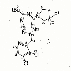 CC(C)(C)c1nc(N2CCC(F)(F)C2)c2nn(Cc3nccc(Cl)c3Cl)nc2n1